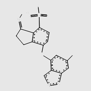 CCCC/N=C1/CCc2c(Oc3cc(F)cc4[nH]ncc34)ccc(S(=O)(=O)C(F)(F)F)c21